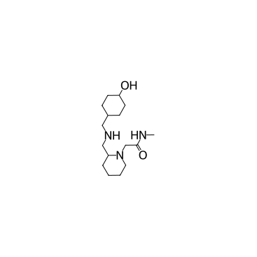 CNC(=O)CN1CCCCC1CNCC1CCC(O)CC1